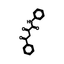 O=C(CC(=O)c1ccccc1)C(=O)Nc1ccccc1